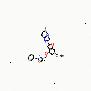 COc1cc(OCc2csc(-c3cc[c]cc3)n2)c2cc(-c3cn4cc(C)ccc4n3)oc2c1